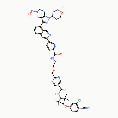 CC(=O)N1CCc2c(c(-c3cccc4cc(-c5ccc(C(=O)NCCOCc6ncc(C(=O)NC7C(C)(C)C(Oc8ccc(C#N)c(Cl)c8)C7(C)C)cn6)nc5)ncc34)nn2C2CCOCC2)C1